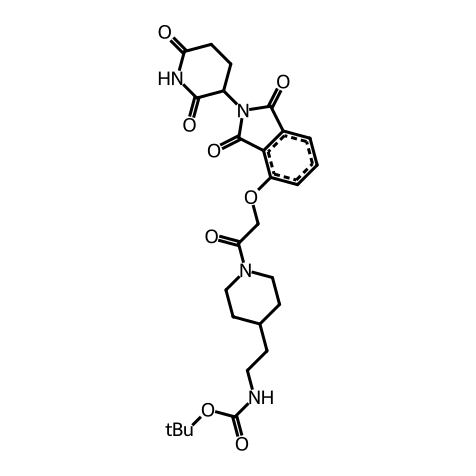 CC(C)(C)OC(=O)NCCC1CCN(C(=O)COc2cccc3c2C(=O)N(C2CCC(=O)NC2=O)C3=O)CC1